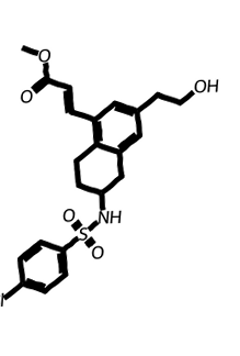 COC(=O)C=Cc1cc(CCO)cc2c1CCC(NS(=O)(=O)c1ccc(Cl)cc1)C2